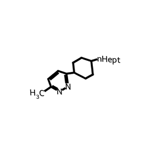 CCCCCCCC1CCC(c2ccc(C)nn2)CC1